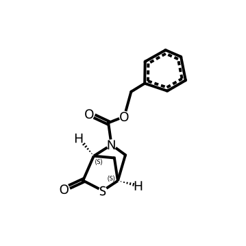 O=C1S[C@H]2C[C@@H]1N(C(=O)OCc1ccccc1)C2